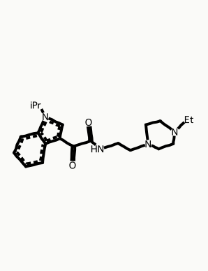 CCN1CCN(CCNC(=O)C(=O)c2cn(C(C)C)c3ccccc23)CC1